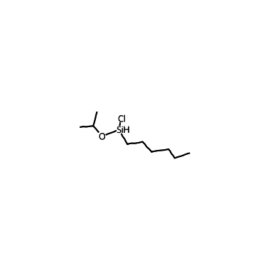 CCCCCC[SiH](Cl)OC(C)C